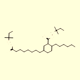 CCCCCCC1CCC(CCCCCCCC(=O)OOC(C)(C)CC)CC1C(=O)OOC(C)(C)CC